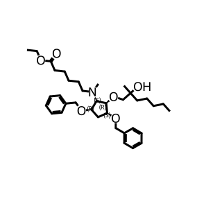 CCCCCC(C)(O)CO[C@@H]1[C@@H](N(C)CCCCCC(=O)OCC)[C@H](OCc2ccccc2)C[C@@H]1OCc1ccccc1